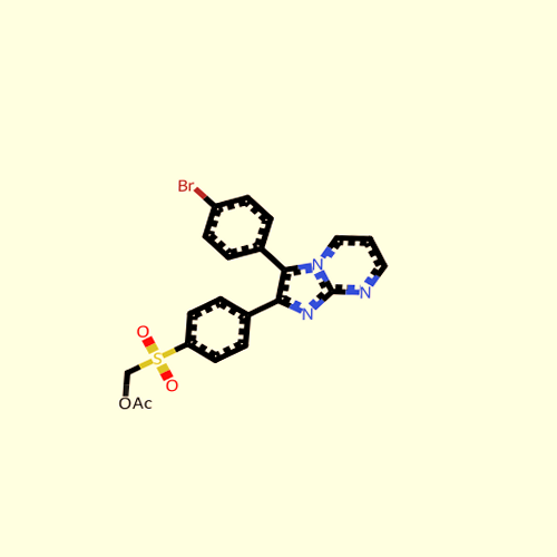 CC(=O)OCS(=O)(=O)c1ccc(-c2nc3ncccn3c2-c2ccc(Br)cc2)cc1